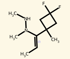 C/C=C(\N(C)NC)C1(C)CC(F)(F)C1